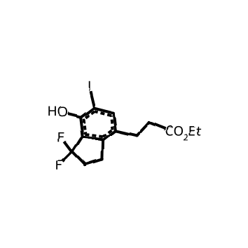 CCOC(=O)CCc1cc(I)c(O)c2c1CCC2(F)F